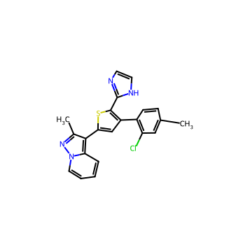 Cc1ccc(-c2cc(-c3c(C)nn4ccccc34)sc2-c2ncc[nH]2)c(Cl)c1